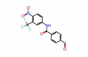 O=Cc1ccc(C(=O)Nc2ccc([N+](=O)[O-])c(C(F)(F)F)c2)cc1